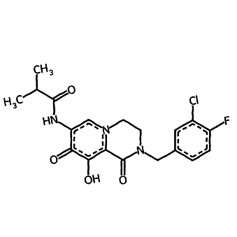 CC(C)C(=O)Nc1cn2c(c(O)c1=O)C(=O)N(Cc1ccc(F)c(Cl)c1)CC2